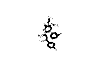 C=CC[C@@]1(OC)C[C@H](c2cccc(Cl)c2)[C@H](C(C)C[C@H](O)c2ccc(Cl)cc2)NC1=O